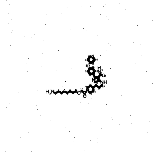 NCCCCCCCCOCC(=O)N1CCC(C2CCNc3c(C(N)=O)c(-c4ccc(Oc5ccccc5)cc4)nn32)CC1